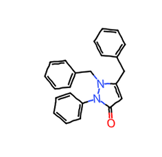 O=c1cc(Cc2ccccc2)n(Cc2ccccc2)n1-c1ccccc1